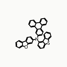 c1ccc2c(c1)oc1cc(N(c3ccc4c5ccccc5c5ccccc5c4c3)c3cccc4sc5ccccc5c34)ccc12